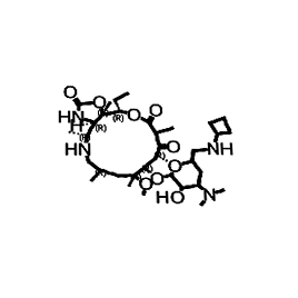 CC[C@H]1OC(=O)C(C)C(=O)[C@H](C)[C@@H](OC2OC(CNC3CCC3)CC(N(C)C)C2O)[C@](C)(OC)C[C@@H](C)CN[C@H](C)[C@H]2NC(=O)O[C@@]21C